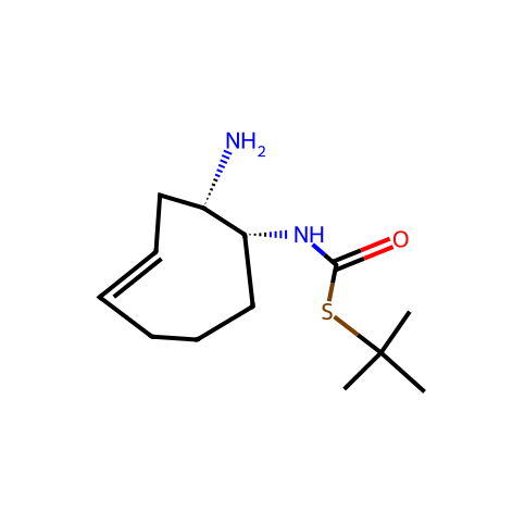 CC(C)(C)SC(=O)N[C@@H]1CCC/C=C/C[C@@H]1N